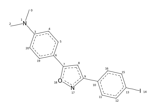 CN(C)c1ccc(-c2cc(-c3ccc(I)cc3)no2)cc1